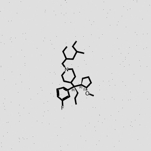 CCC[C@@](c1cccc(F)c1)(C1CCN(CC(CC)CC(C)CC)CC1)[C@H]1CCC[C@@H]1OC